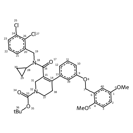 COc1ccc(OC)c(COc2cccc(C3=C(C(=O)N(Cc4cccc(Cl)c4Cl)C4CC4)CN(C(=O)OC(C)(C)C)CC3)c2)c1